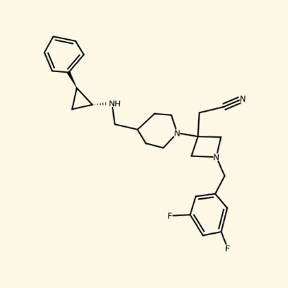 N#CCC1(N2CCC(CN[C@@H]3C[C@H]3c3ccccc3)CC2)CN(Cc2cc(F)cc(F)c2)C1